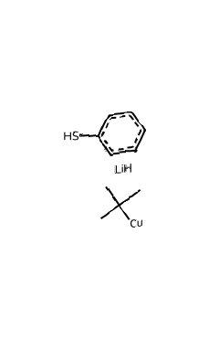 C[C](C)(C)[Cu].Sc1ccccc1.[LiH]